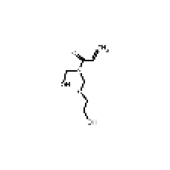 C=CC(=O)N(CO)COCCO